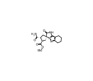 CC(C)(C)OC(=O)N1C[C@]2(C[C@H]1C(N)=O)C(=O)Nc1c3c(nn12)CCCC3